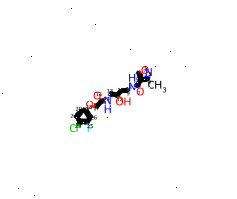 Cc1nocc1C(=O)NCCC(O)CNC(=O)COc1ccc(Cl)c(F)c1